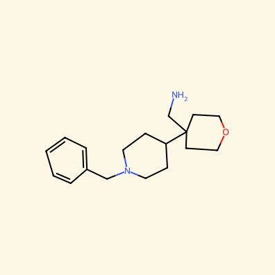 NCC1(C2CCN(Cc3ccccc3)CC2)CCOCC1